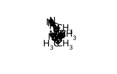 Cc1cc(Nc2ncnc3ccc(OC(C)C)c(N4C[C@@H]5[C@H]4CCN5C)c23)ccc1Oc1cc2ncnn2cn1